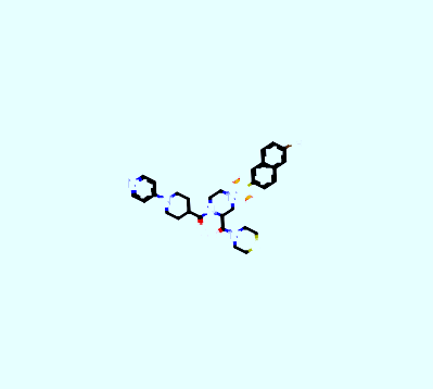 O=C(C1CN(S(=O)(=O)c2ccc3cc(Br)ccc3c2)CCN1C(=O)C1CCN(c2ccncc2)CC1)N1CCSCC1